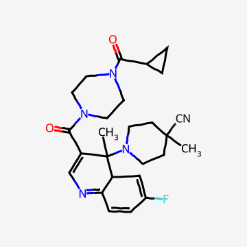 CC1(C#N)CCN(C2(C)C(C(=O)N3CCN(C(=O)C4CC4)CC3)=CN=C3C=CC(F)=CC32)CC1